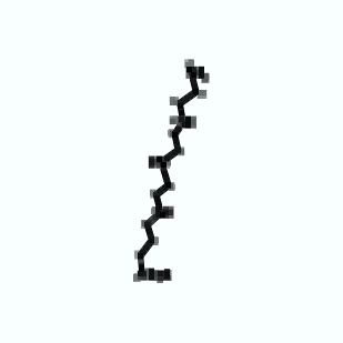 CCCCCCCCCCNCCNCCNCCN